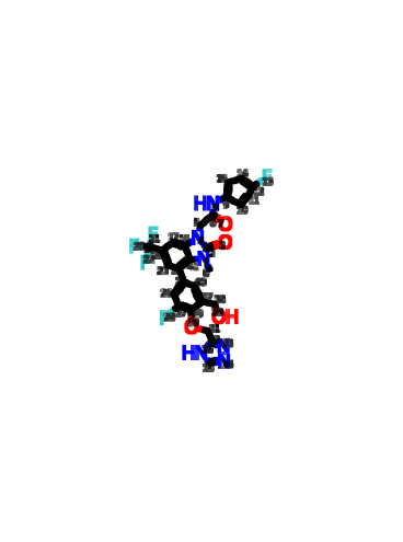 Cn1c(=O)n(CC(=O)Nc2ccc(F)cc2)c2cc(C(F)(F)F)cc(-c3cc(F)c(OCc4nnc[nH]4)c(CO)c3)c21